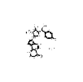 Cl.OC(c1ccc(Cl)cc1)[C@H]1O[C@@H](n2ccc3c2N=CN2C3=NCCC2O)[C@H](O)[C@@H]1O